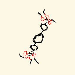 CCO[Si](OCC)(OCC)c1ccc(-c2ccc(-c3ccc([Si](OCC)(OCC)OCC)cc3)cc2)cc1